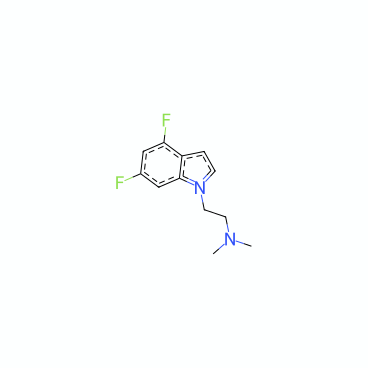 CN(C)CCn1ccc2c(F)cc(F)cc21